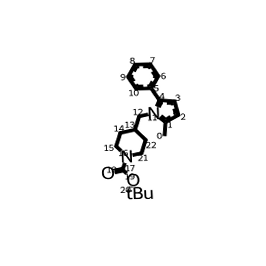 Cc1ccc(-c2ccccc2)n1CC1CCN(C(=O)OC(C)(C)C)CC1